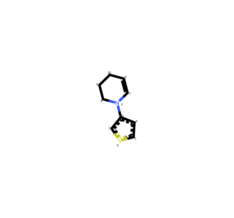 C1=CN(c2ccsc2)CCC1